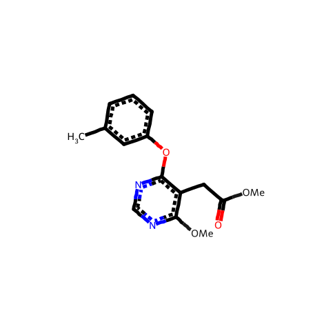 COC(=O)Cc1c(OC)ncnc1Oc1cccc(C)c1